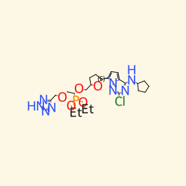 CCOP(OCC)C(COCc1nn[nH]n1)OCC1CC[C@@H](c2ccc3c(NC4CCCC4)nc(Cl)nn23)O1